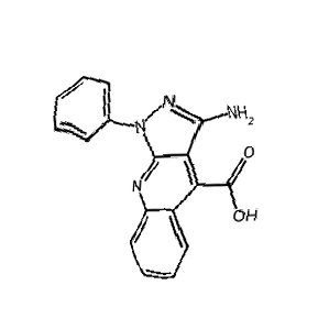 Nc1nn(-c2ccccc2)c2nc3ccccc3c(C(=O)O)c12